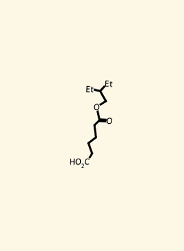 CCC(CC)COC(=O)CCCCC(=O)O